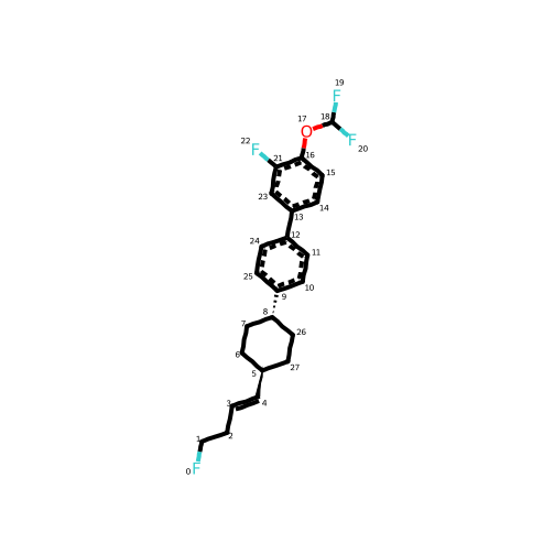 FCCC=C[C@H]1CC[C@H](c2ccc(-c3ccc(OC(F)F)c(F)c3)cc2)CC1